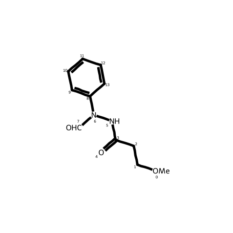 COCCC(=O)NN(C=O)c1ccccc1